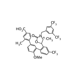 COc1ccc(-c2ccc(C(=O)O)cc2C)cc1-c1ccc(C(F)(F)F)cc1C1OC(=O)N(Cc2cc(C(F)(F)F)cc(C(F)(F)F)c2)[C@@H]1C